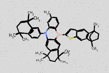 Cc1ccc2c(c1)N(c1ccc3c(c1)C(C)(C)CCC3(C)C)c1cc3c(cc1B2c1cc2cc4c(cc2s1)C1(C)CCC4(C)CC1)C(C)(C)CCC3(C)C